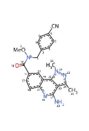 CON(Cc1ccc(C#N)cc1)C(=O)c1ccc2nc(N)c3c(C)nn(C)c3c2c1